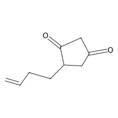 C=CCCC1CC(=O)CC1=O